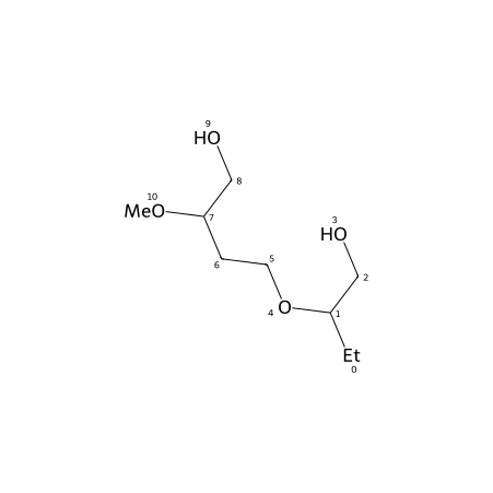 CCC(CO)OCCC(CO)OC